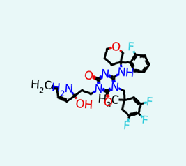 C=C/C=C\C(N)(O)CCn1c(=O)nc(NC2(c3ccccc3F)CCCOC2)n(CC2(C)C=C(F)C(F)=C(F)C2)c1=O